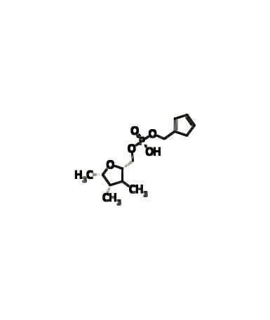 CC1[C@@H](COP(=O)(O)OCC2=CC=CC2)O[C@@H](C)[C@H]1C